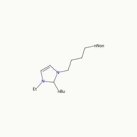 CCCCCCCCCCCCCN1C=CN(CC)C1CCCC